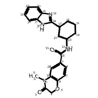 CN1C(=O)COc2ccc(C(=O)NC3CCCC(c4nc5ccccc5[nH]4)C3)cc21